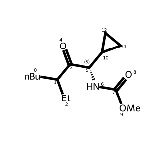 CCCCC(CC)C(=O)[C@@H](NC(=O)OC)C1CC1